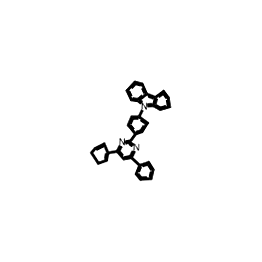 C1=CC(c2cc(-c3ccccc3)nc(-c3ccc(-n4c5ccccc5c5ccccc54)cc3)n2)=CCC1